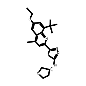 CCOc1cc(C(C)(C)C)c2nc(-c3nnc(N[C@@H]4CCOC4)o3)cc(C)c2c1